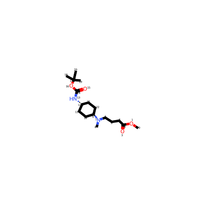 COC(=O)CCCN(C)[C@H]1CC[C@H](NC(=O)OC(C)(C)C)CC1